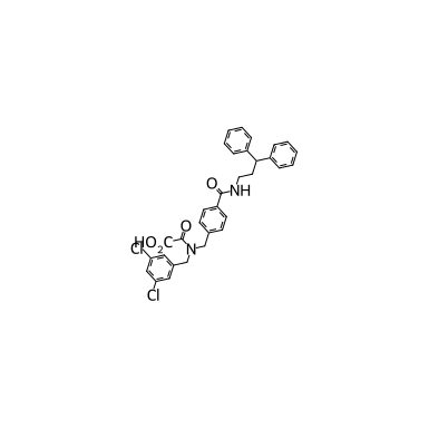 O=C(O)C(=O)N(Cc1ccc(C(=O)NCCC(c2ccccc2)c2ccccc2)cc1)Cc1cc(Cl)cc(Cl)c1